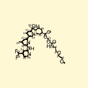 COCCOCCNC(=O)OCOC(=O)[C@H]1CC[C@H]([C@@](C)(O)c2ccc(-c3cc(C)cc(Nc4cc(C(F)F)ccn4)n3)cn2)CC1